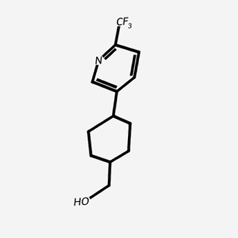 OCC1CCC(c2ccc(C(F)(F)F)nc2)CC1